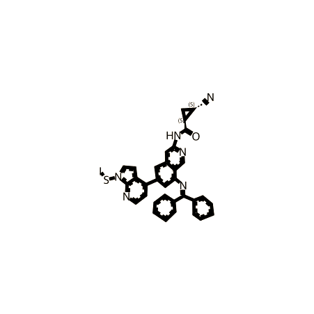 N#C[C@H]1C[C@@H]1C(=O)Nc1cc2cc(-c3ccnc4c3ccn4SI)cc(N=C(c3ccccc3)c3ccccc3)c2cn1